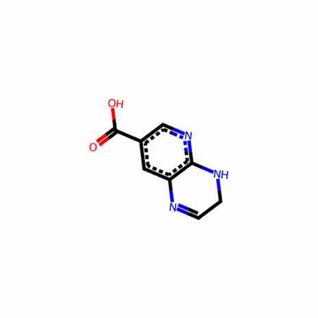 O=C(O)c1cnc2c(c1)N=CCN2